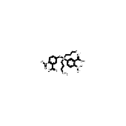 CCCCS(CCCC)(Sc1ccc([N+](=O)[O-])c(C(=O)O)c1)c1ccc([N+](=O)[O-])c(C(=O)O)c1